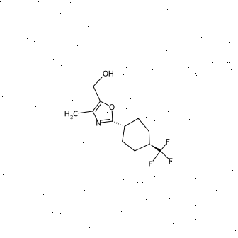 Cc1nc([C@H]2CC[C@H](C(F)(F)F)CC2)oc1CO